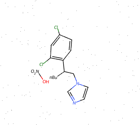 CCCCC(Cn1ccnc1)c1ccc(Cl)cc1Cl.O=[N+]([O-])O